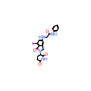 O=C1CCC(N2Cc3cc(NCC(=O)Nc4ccccc4)cc(I)c3C2=O)C(=O)N1